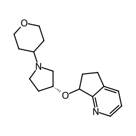 c1cnc2c(c1)CCC2O[C@@H]1CCN(C2CCOCC2)C1